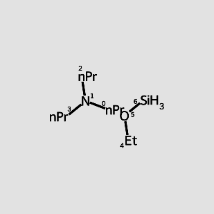 CCCN(CCC)CCC.CCO[SiH3]